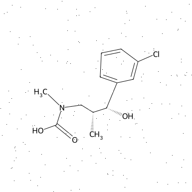 C[C@H](CN(C)C(=O)O)[C@@H](O)c1cccc(Cl)c1